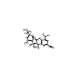 CC(C)c1cc(C#N)cc(C(C)C)c1CC(=O)N=S(N)(=O)c1ccc(C(C)(C)O)cc1Cl